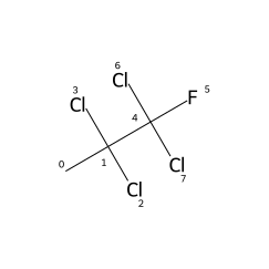 CC(Cl)(Cl)C(F)(Cl)Cl